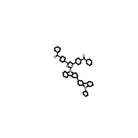 O=C(c1ccccc1)c1ccc(-c2cc(-c3ccc(C(=O)c4ccccc4)cc3)nc(-n3c4ccccc4c4cc(-c5ccc6c(c5)c5ccccc5n6-c5ccccc5)ccc43)n2)cc1